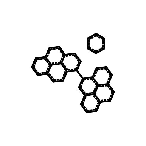 c1cc2ccc3ccc(-c4cc5cccc6ccc7cccc4c7c65)c4ccc(c1)c2c34.c1ccccc1